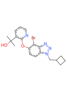 CC(C)(O)c1cccnc1Oc1ccc2c(nnn2CC2CCC2)c1Br